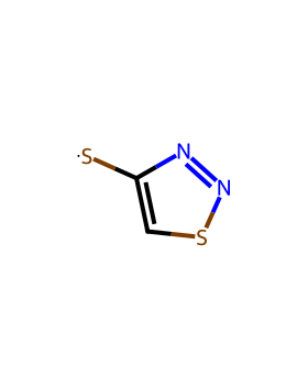 [S]c1csnn1